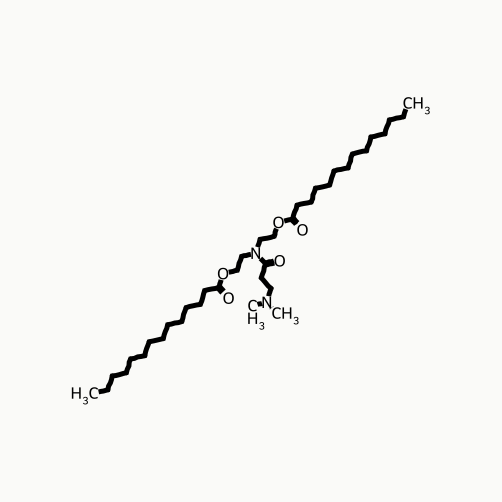 CCCCCCCCCCCCCC(=O)OCCN(CCOC(=O)CCCCCCCCCCCCC)C(=O)CCN(C)C